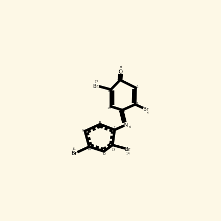 O=C1C=C(Br)C(=Nc2ccc(Br)cc2Br)C=C1Br